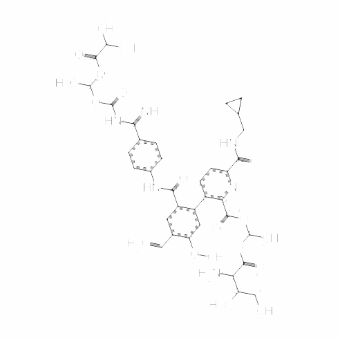 C=Cc1cc(C(=O)Nc2ccc(C(=N)NC(=O)OC(C)OC(=O)C(C)C)cc2)c(-c2ccc(C(=O)NCC3CC3)nc2C(=O)OC(C)OC(=O)C(N)C(C)CC)cc1OC